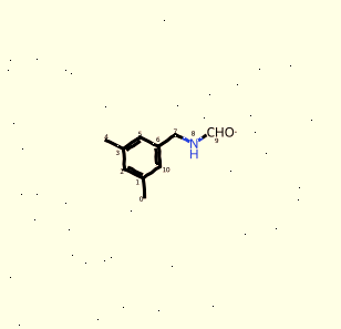 Cc1cc(C)cc(CN[C]=O)c1